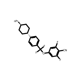 CCC[C@H]1CC[C@H](c2ccc(C(F)(F)Oc3cc(F)c(C#N)c(F)c3)cc2)CC1